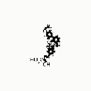 O=C(O)[C@H](CO)N=Cc1ccc2c(Nc3cccc(-c4ccc5c(c4)OCCO5)c3Cl)noc2c1